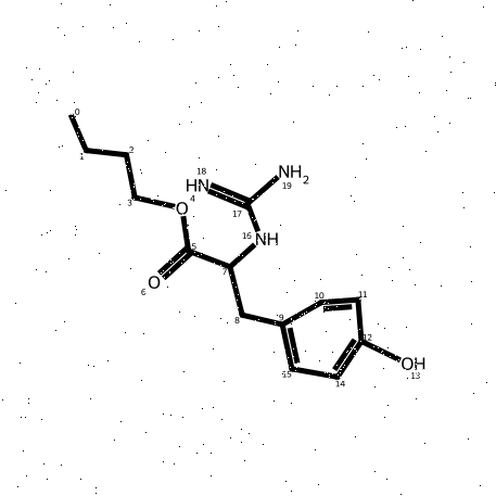 CCCCOC(=O)C(Cc1ccc(O)cc1)NC(=N)N